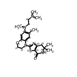 Cc1cc2c(cc1N(C)CCN(C)C)OCCN2c1nc2c(s1)C(=O)NC(C)(C)C2